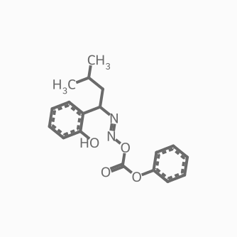 CC(C)CC(N=NOC(=O)Oc1ccccc1)c1ccccc1O